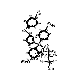 COc1ccc(S(OS(=O)(=O)C(F)(F)C(F)(F)C(F)(F)C(F)(F)F)(c2ccc(OC)cc2)c2ccc(Sc3ccc(C(C)=O)cc3)s2)cc1